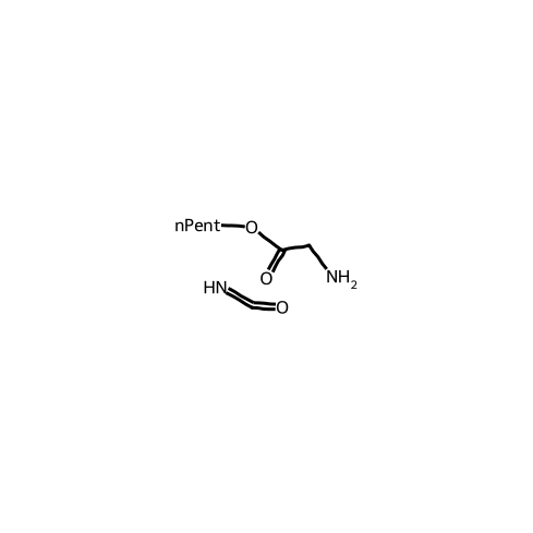 CCCCCOC(=O)CN.N=C=O